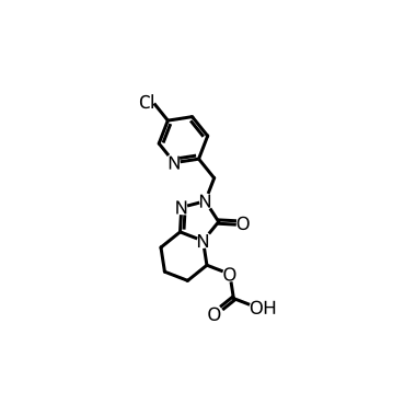 O=C(O)OC1CCCc2nn(Cc3ccc(Cl)cn3)c(=O)n21